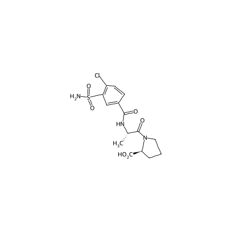 C[C@H](NC(=O)c1ccc(Cl)c(S(N)(=O)=O)c1)C(=O)N1CCC[C@H]1C(=O)O